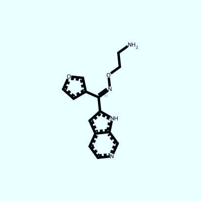 NCCO/N=C(\c1ccoc1)c1cc2ccncc2[nH]1